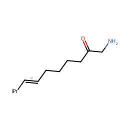 CC(C)/C=C/CCCCC(=O)CN